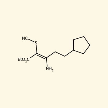 CCOC(=O)C(SC#N)=C(N)CCC1CCCC1